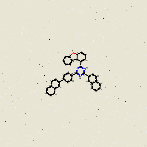 C1=CC2Oc3ccccc3C2C(c2nc(-c3ccc(-c4ccc5ccccc5c4)cc3)nc(-c3ccc4ccccc4c3)n2)=C1